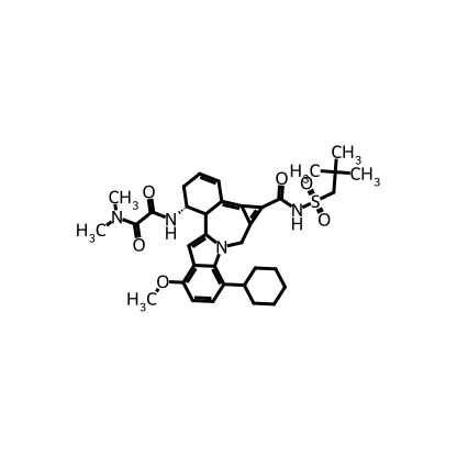 COc1ccc(C2CCCCC2)c2c1cc1n2CC2=C(C(=O)NS(=O)(=O)CC(C)(C)C)C2=C2C=CC[C@@H](NC(=O)C(=O)N(C)C)C21